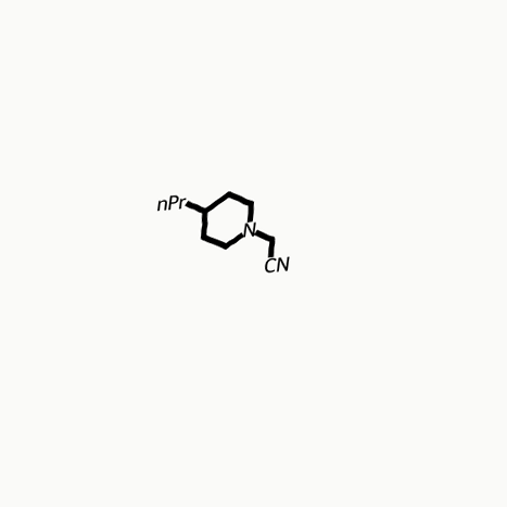 C[CH]CC1CCN(CC#N)CC1